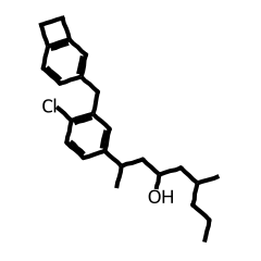 CCCC(C)CC(O)CC(C)c1ccc(Cl)c(Cc2ccc3c(c2)CC3)c1